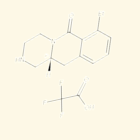 CCc1cccc2c1C(=O)N1CCNC[C@H]1C2.O=C(O)C(F)(F)F